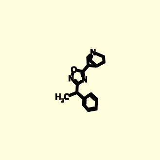 CC(c1ccccc1)c1noc(C2CN3CCC2C3)n1